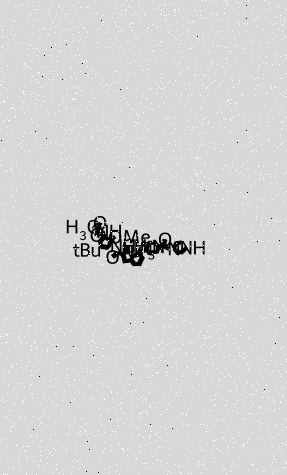 COc1c(NC(=O)c2cc3cccc(CN4CCN(C(=O)CN5CCNCC5)CC4)c3n2C)cc(C(C)(C)C)cc1NS(C)(=O)=O